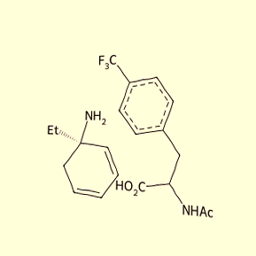 CC(=O)NC(Cc1ccc(C(F)(F)F)cc1)C(=O)O.CC[C@]1(N)C=CC=CC1